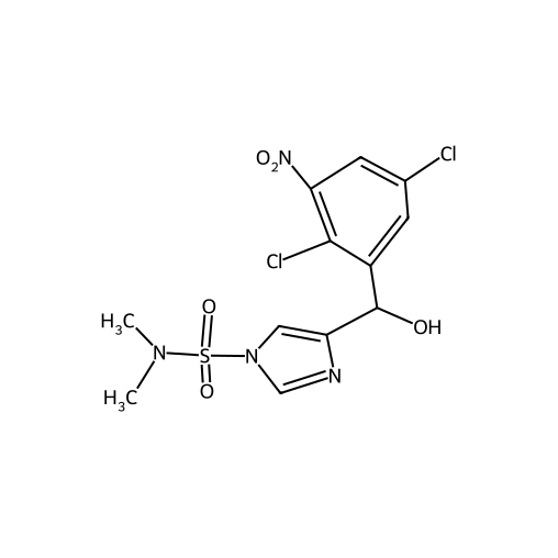 CN(C)S(=O)(=O)n1cnc(C(O)c2cc(Cl)cc([N+](=O)[O-])c2Cl)c1